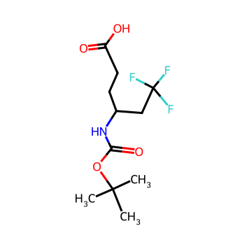 CC(C)(C)OC(=O)NC(CCC(=O)O)CC(F)(F)F